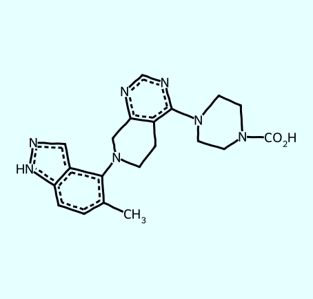 Cc1ccc2[nH]ncc2c1N1CCc2c(ncnc2N2CCN(C(=O)O)CC2)C1